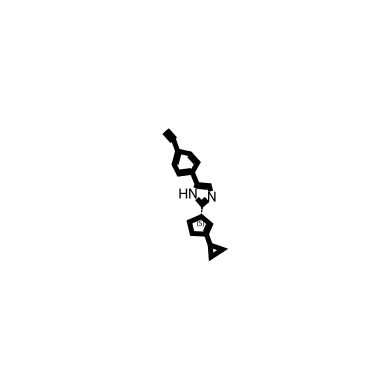 C#Cc1ccc(-c2cnc([C@@H]3C=C(C4CC4)CC3)[nH]2)cc1